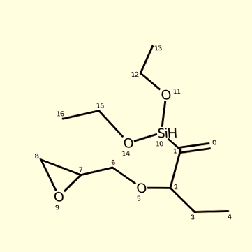 C=C(C(CC)OCC1CO1)[SiH](OCC)OCC